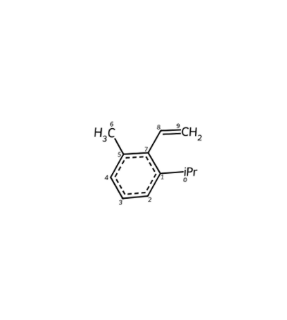 [CH2]C(C)c1cccc(C)c1C=C